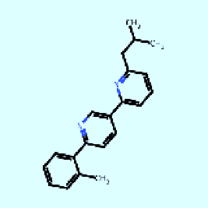 Cc1ccccc1-c1ccc(-c2cccc(CC(C)C)n2)cn1